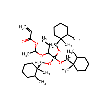 C=CC(=O)OC(C)OC(CC)[Si](O[SiH2]C1(C)CCCCC1C)(O[SiH2]C1(C)CCCCC1C)O[SiH2]C1(C)CCCCC1C